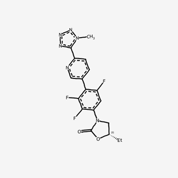 CC[C@H]1CN(c2cc(F)c(-c3ccc(-c4nnnn4C)nc3)c(F)c2F)C(=O)O1